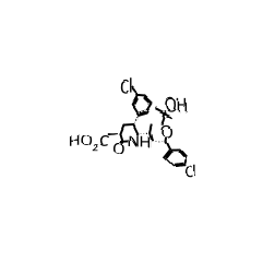 CC(C[C@H](OCC(C)(C)O)c1ccc(Cl)cc1)[C@@H]1NC(=O)[C@@H](CC(=O)O)C[C@@H]1c1cccc(Cl)c1